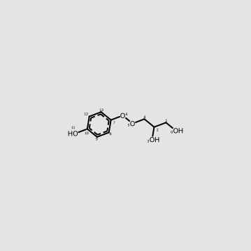 OCC(O)COOc1ccc(O)cc1